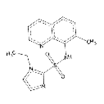 CCn1ccnc1S(=O)(=O)Nc1c(C)ccc2cccnc12